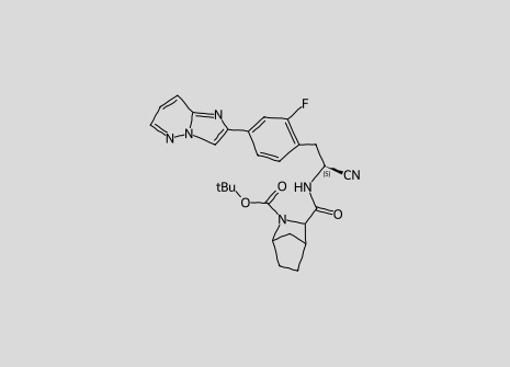 CC(C)(C)OC(=O)N1C2CCC(C2)C1C(=O)N[C@H](C#N)Cc1ccc(-c2cn3ncccc3n2)cc1F